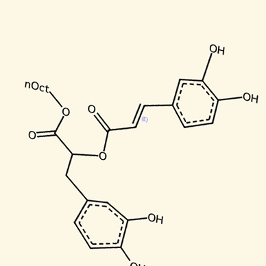 CCCCCCCCOC(=O)C(Cc1ccc(O)c(O)c1)OC(=O)/C=C/c1ccc(O)c(O)c1